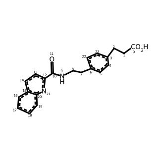 O=C(O)CCc1ccc(CCNC(=O)c2ccc3ccccc3n2)cc1